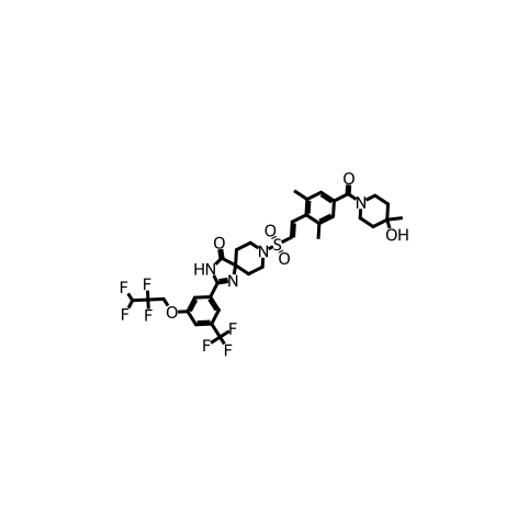 Cc1cc(C(=O)N2CCC(C)(O)CC2)cc(C)c1C=CS(=O)(=O)N1CCC2(CC1)N=C(c1cc(OCC(F)(F)C(F)F)cc(C(F)(F)F)c1)NC2=O